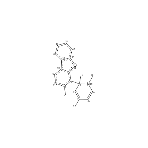 CC1=CC(C)(c2c(C)ncc3c2oc2ccccc23)N(C)C=C1